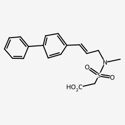 CN(C/C=C/c1ccc(-c2ccccc2)cc1)S(=O)(=O)CC(=O)O